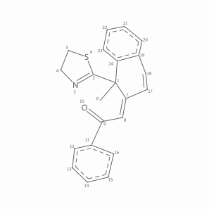 CC1(C2=NCCS2)C(=CC(=O)c2ccccc2)C=Cc2ccccc21